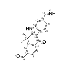 CC1(C)c2cc(C=O)ccc2C(=O)c2c1[nH]c1cc(C=N)ccc21